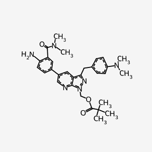 CN(C)C(=O)c1cc(-c2cnc3c(c2)c(Cc2ccc(N(C)C)cc2)nn3COC(=O)C(C)(C)C)ccc1N